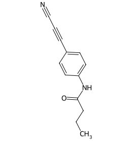 CCCC(=O)Nc1ccc(C#CC#N)cc1